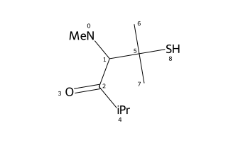 CNC(C(=O)C(C)C)C(C)(C)S